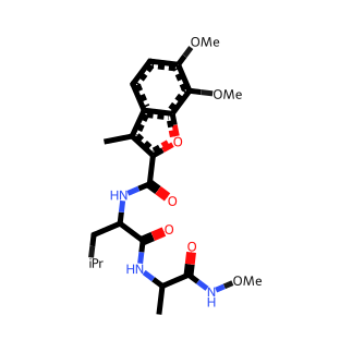 CONC(=O)C(C)NC(=O)C(CC(C)C)NC(=O)c1oc2c(OC)c(OC)ccc2c1C